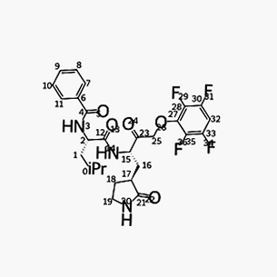 CC(C)C[C@H](NC(=O)c1ccccc1)C(=O)N[C@@H](C[C@@H]1CCNC1=O)C(=O)COc1c(F)c(F)cc(F)c1F